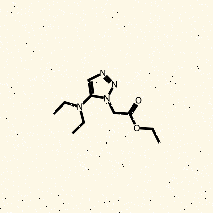 CCOC(=O)Cn1nncc1N(CC)CC